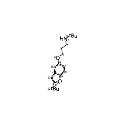 CC(C)(C)NCCCOc1ccc2oc(C(C)(C)C)cc2c1